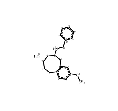 COc1ccc2c(c1)CC(NCc1ccccc1)CCCC2.Cl